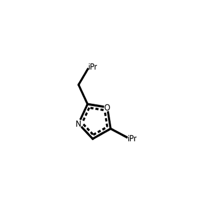 CC(C)Cc1ncc(C(C)C)o1